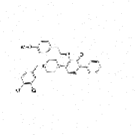 COc1ccc(CCOc2c(N3CCN(Cc4ccc(Cl)c(Cl)c4)CC3)cnn(-c3ccccc3)c2=O)cc1